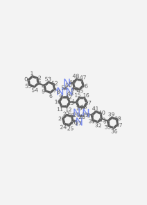 c1ccc(-c2ccc(-n3c4cccc(-c5cccc6c5n5c7ccccc7nc5n6-c5ccc(-c6ccccc6)cc5)c4n4c5ccccc5nc34)cc2)cc1